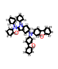 c1ccc(N2c3ccccc3Oc3c2n(-c2ccccc2)c2ccc(N(c4ccc5c(c4)oc4ccccc45)c4ccc5c(c4)oc4ccccc45)cc32)cc1